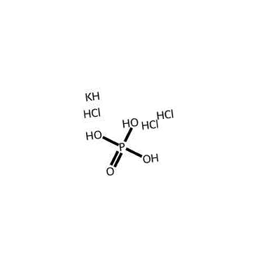 Cl.Cl.Cl.O=P(O)(O)O.[KH]